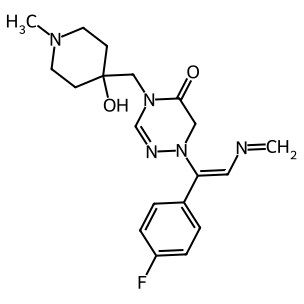 C=N/C=C(/c1ccc(F)cc1)N1CC(=O)N(CC2(O)CCN(C)CC2)C=N1